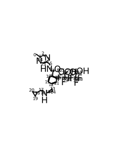 Cc1cnc(CNC(=O)c2ccc([C@@H]3C[C@H]3NCC3CC3)cc2)cn1.O=C(O)C(F)(F)F.O=C(O)C(F)(F)F